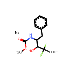 CC(C)(C)OC(=O)NC(Cc1ccccc1)C(O)C(F)(F)C(=O)[O-].[Na+]